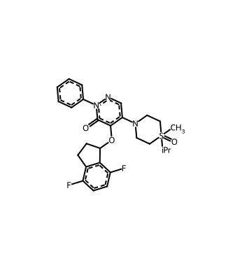 CC(C)S1(C)(=O)CCN(c2cnn(-c3ccccc3)c(=O)c2OC2CCc3c(F)ccc(F)c32)CC1